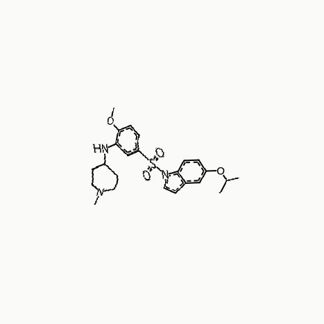 COc1ccc(S(=O)(=O)n2ccc3cc(OC(C)C)ccc32)cc1NC1CCN(C)CC1